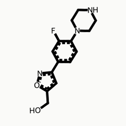 OCc1cc(-c2ccc(N3CCNCC3)c(F)c2)no1